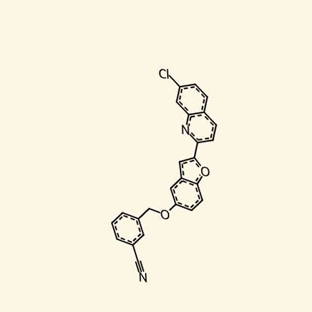 N#Cc1cccc(COc2ccc3oc(-c4ccc5ccc(Cl)cc5n4)cc3c2)c1